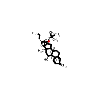 C=C1C=C[C@@]2(C)C(=C1)CC[C@@H]1[C@@H]2[C@@H](O)C[C@@]2(C)[C@H]1C[C@H]1O[C@@H](CCC)O[C@]12C(=O)COC(C)(C)C